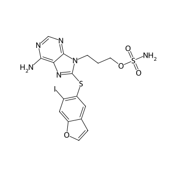 Nc1ncnc2c1nc(Sc1cc3ccoc3cc1I)n2CCCOS(N)(=O)=O